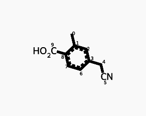 Cc1cc(CC#N)ccc1C(=O)O